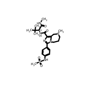 CNC(=O)[C@@H](NC(=O)c1nc(-c2ccc(NS(C)(=O)=O)cc2)n2c1CN(C)CCC2)C(C)(C)C